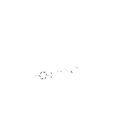 O=C(OC(C(F)(F)F)C(F)(F)F)N1CC(CNS(=O)(=O)c2ccc(Cl)cc2)C1